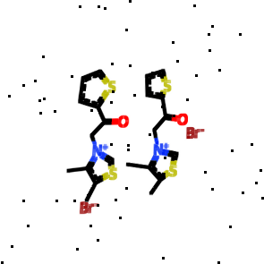 Cc1sc[n+](CC(=O)c2cccs2)c1C.Cc1sc[n+](CC(=O)c2cccs2)c1C.[Br-].[Br-]